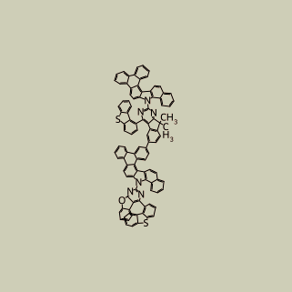 CC1(C)c2ccc(-c3ccc4c(c3)c3ccccc3c3ccc5c(c6ccc7ccccc7c6n5-c5nc(-c6cccc7sc8ccccc8c67)c6c(n5)oc5ccccc56)c34)cc2-c2c(-c3cccc4sc5ccccc5c34)nc(-n3c4ccc5c6ccccc6c6ccccc6c5c4c4ccc5ccccc5c43)nc21